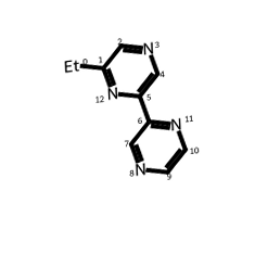 CCc1cncc(-c2cnccn2)n1